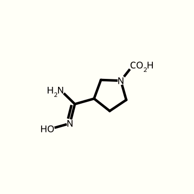 NC(=NO)C1CCN(C(=O)O)C1